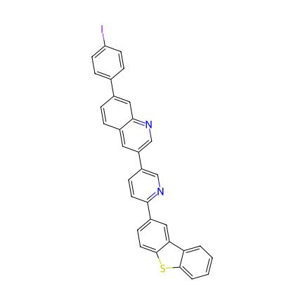 Ic1ccc(-c2ccc3cc(-c4ccc(-c5ccc6sc7ccccc7c6c5)nc4)cnc3c2)cc1